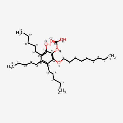 CCCCCCCCCOc1c(CCCCC)c(CCCCC)c(CCCCC)c(O)c1OC(=O)O